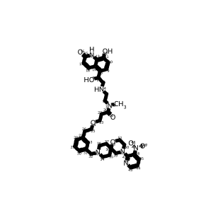 CN(CCNCC(O)c1ccc(O)c2[nH]c(=O)ccc12)C(=O)CCOCCc1cccc(CN2CCC3(CC2)CN(c2ncccc2[N+](=O)[O-])CCO3)c1